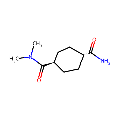 CN(C)C(=O)[C@H]1CC[C@H](C(N)=O)CC1